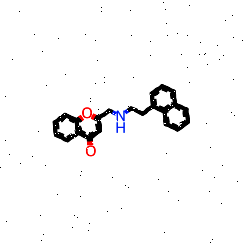 O=c1cc(CNCCc2cccc3ccccc23)oc2ccccc12